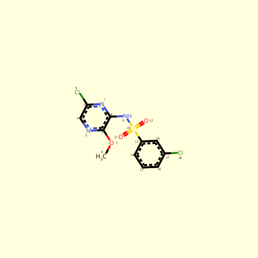 COc1ncc(Cl)nc1NS(=O)(=O)c1cccc(Cl)c1